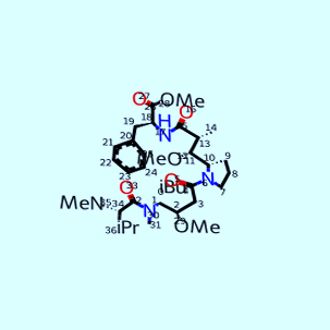 CC[C@H](C)[C@@H]([C@@H](CC(=O)N1CCC[C@H]1[C@H](OC)[C@@H](C)C(=O)N[C@@H](Cc1ccccc1)C(=O)OC)OC)N(C)C(=O)[C@@H](NC)C(C)C